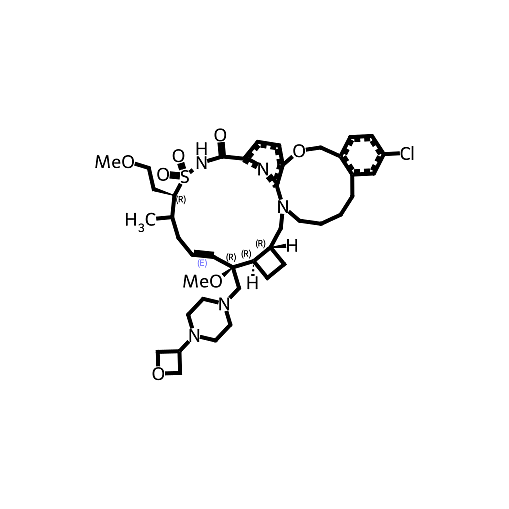 COCC[C@@H]1C(C)C/C=C/[C@](CN2CCN(C3COC3)CC2)(OC)[C@@H]2CC[C@H]2CN2CCCCc3cc(Cl)ccc3COc3ccc(nc32)C(=O)NS1(=O)=O